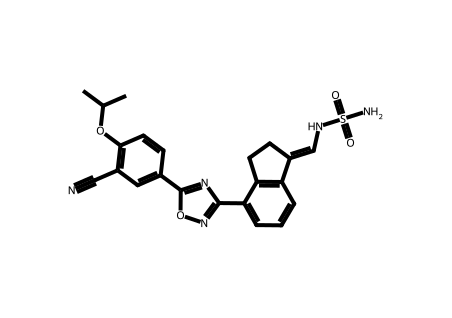 CC(C)Oc1ccc(-c2nc(-c3cccc4c3CC/C4=C\NS(N)(=O)=O)no2)cc1C#N